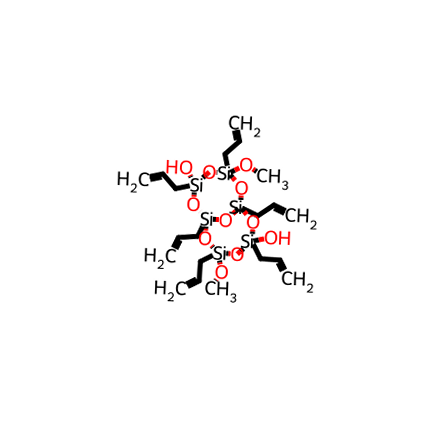 C=CC[Si]1(O)O[Si](CC=C)(OC)O[Si]2(CC=C)O[Si](O)(CC=C)O[Si](CC=C)(OC)O[Si](CC=C)(O1)O2